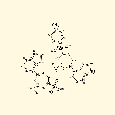 CCCCS(=O)(=O)N1CCN(c2ncnc3[nH]ccc23)CC2(CC2)C1.Cc1ccc(S(=O)(=O)N2CCN(c3ncnc4[nH]ccc34)CC3(CC3)C2)cc1